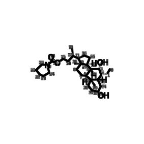 CC[C@H]1[C@@H](O)[C@@H]2[C@H](CC[C@]3(C)[C@@H]([C@H](C)CCOC(=O)N4CCCCC4)CC[C@@H]23)[C@@]2(C)CC[C@@H](O)C[C@@H]12